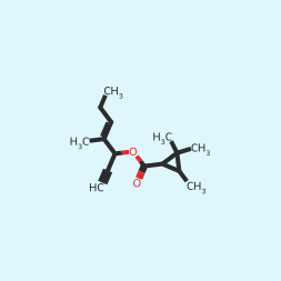 C#CC(OC(=O)C1C(C)C1(C)C)C(C)=CCC